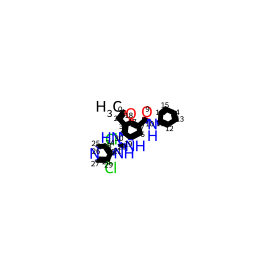 Cc1cc2c3c(cc(C(=O)Nc4ccccc4)c2o1)NC(Nc1c(Cl)cncc1Cl)N3